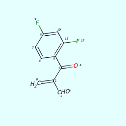 C=C([C]=O)C(=O)c1ccc(F)cc1F